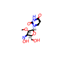 CO[C@@H]1C(=NO)[C@@H](CO)O[C@H]1n1ccc(=O)[nH]c1=O